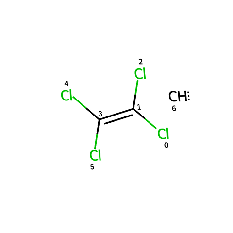 ClC(Cl)=C(Cl)Cl.[CH]